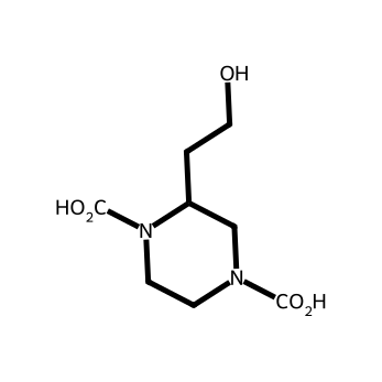 O=C(O)N1CCN(C(=O)O)C(CCO)C1